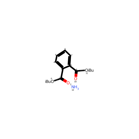 CC(C)COC(=O)c1ccccc1C(=O)OCC(C)C.N